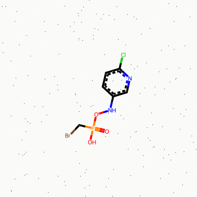 O=P(O)(CBr)ONc1ccc(Cl)nc1